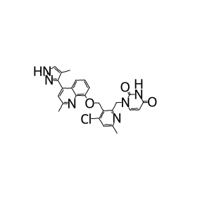 Cc1cc(Cl)c(COc2cccc3c(-c4n[nH]cc4C)cc(C)nc23)c(Cn2ccc(=O)[nH]c2=O)n1